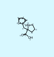 O=C(O)C1(Cc2cccs2)CCCN1